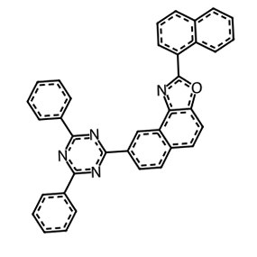 c1ccc(-c2nc(-c3ccccc3)nc(-c3ccc4ccc5oc(-c6cccc7ccccc67)nc5c4c3)n2)cc1